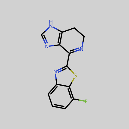 Fc1cccc2nc(C3=NCCc4[nH]cnc43)sc12